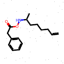 C=CCCCCC(C)NOC(=O)Cc1ccccc1